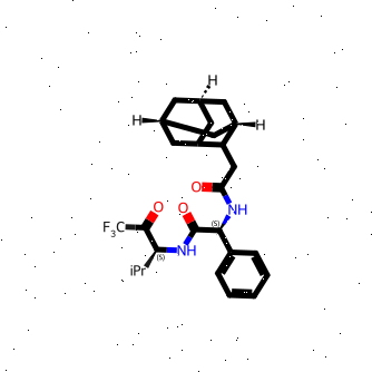 CC(C)[C@H](NC(=O)[C@@H](NC(=O)CC1C2C[C@H]3C[C@@H](C2)C[C@@H]1C3)c1ccccc1)C(=O)C(F)(F)F